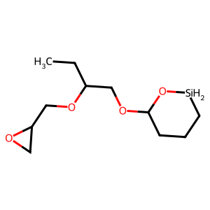 CCC(COC1CCC[SiH2]O1)OCC1CO1